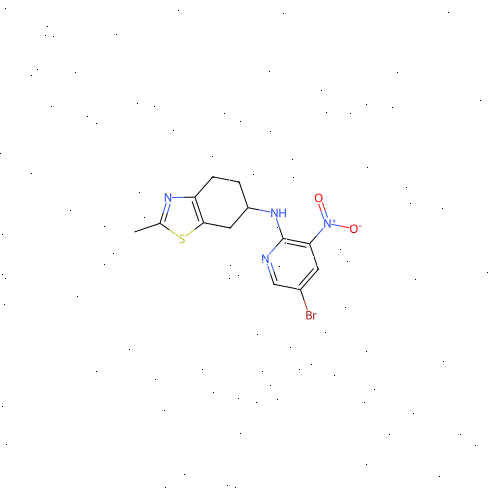 Cc1nc2c(s1)CC(Nc1ncc(Br)cc1[N+](=O)[O-])CC2